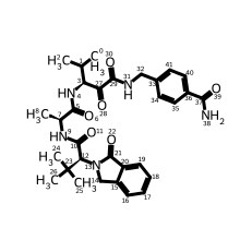 CC(C)[C@H](NC(=O)[C@H](C)NC(=O)[C@@H](N1Cc2ccccc2C1=O)C(C)(C)C)C(=O)C(=O)NCc1ccc(C(N)=O)cc1